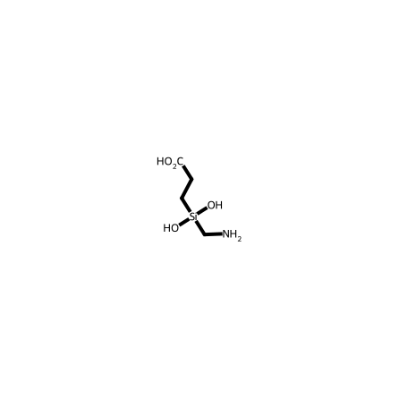 NC[Si](O)(O)CCC(=O)O